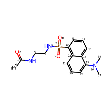 CC(C)C(=O)NCCNS(=O)(=O)c1cccc2c(N(C)C)cccc12